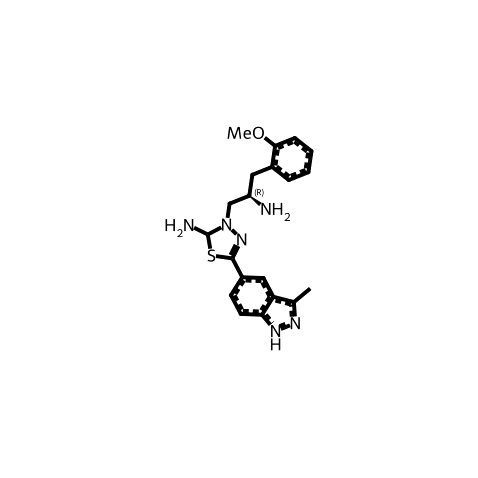 COc1ccccc1C[C@@H](N)CN1N=C(c2ccc3[nH]nc(C)c3c2)SC1N